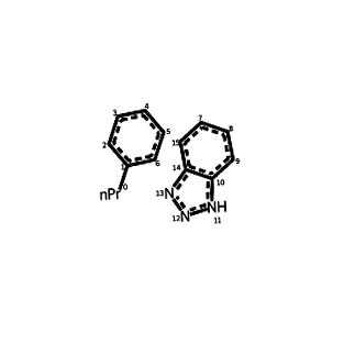 CCCc1ccccc1.c1ccc2[nH]nnc2c1